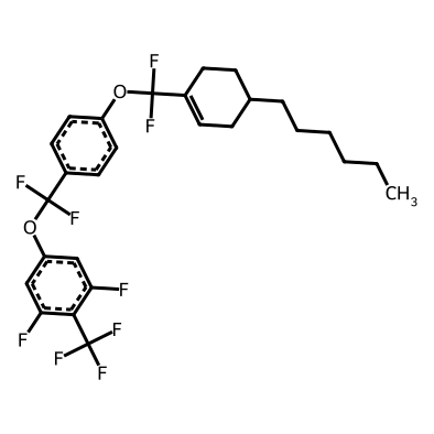 CCCCCCC1CC=C(C(F)(F)Oc2ccc(C(F)(F)Oc3cc(F)c(C(F)(F)F)c(F)c3)cc2)CC1